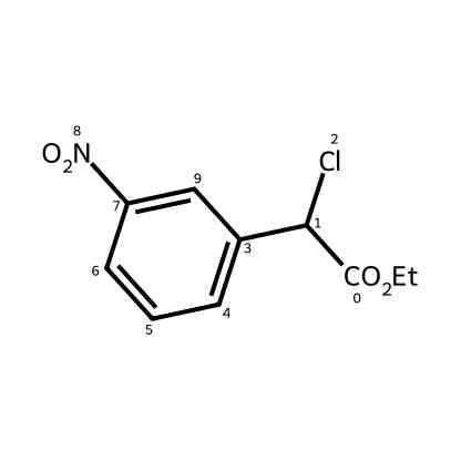 CCOC(=O)C(Cl)c1cccc([N+](=O)[O-])c1